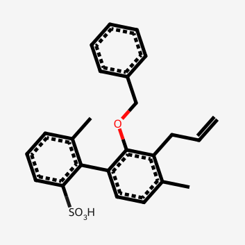 C=CCc1c(C)ccc(-c2c(C)cccc2S(=O)(=O)O)c1OCc1ccccc1